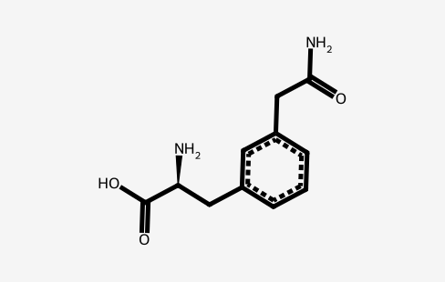 NC(=O)Cc1cccc(C[C@H](N)C(=O)O)c1